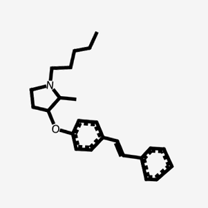 CCCCCN1CCC(Oc2ccc(C=Cc3ccccc3)cc2)C1C